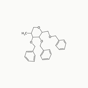 CC1COC(COCc2ccccc2)C(OCc2ccccc2)C1OCc1ccccc1